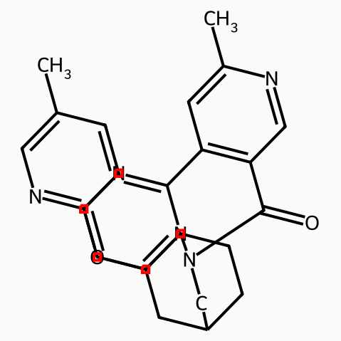 Cc1ccc(OC2CC3CCC2N(C(=O)c2cnc(C)cc2-c2ncccn2)C3)nc1